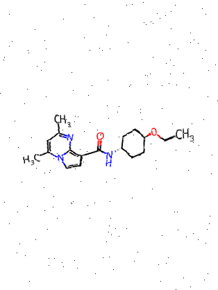 CCO[C@H]1CC[C@H](NC(=O)c2ccn3c(C)cc(C)nc23)CC1